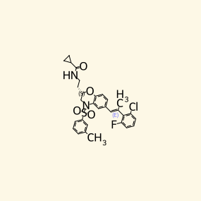 C/C(=C\c1ccc2c(c1)N(S(=O)(=O)c1cccc(C)c1)C[C@H](CCNC(=O)C1CC1)O2)c1c(F)cccc1Cl